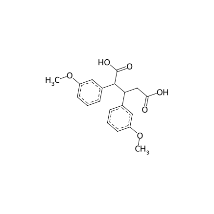 COc1cccc(C(CC(=O)O)C(C(=O)O)c2cccc(OC)c2)c1